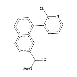 COC(=O)c1ccc2cccc(-c3cccnc3Cl)c2c1